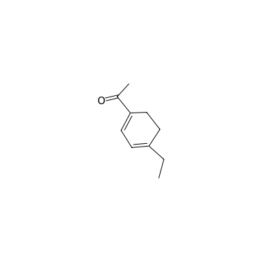 CCC1=CC=C(C(C)=O)CC1